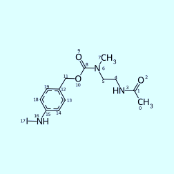 CC(=O)NCCN(C)C(=O)OCc1ccc(NI)cc1